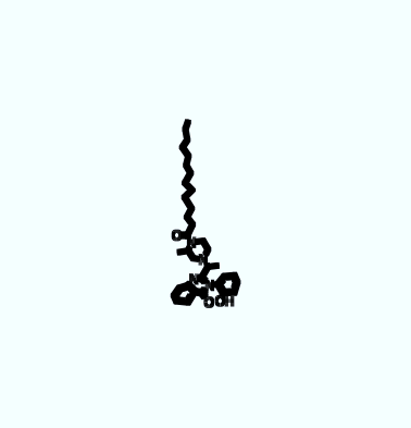 CCCCCCCCCCCCCC(=O)N1CCN(C(C)c2nc3ccccc3c(=O)n2-c2ccccc2O)CC1C